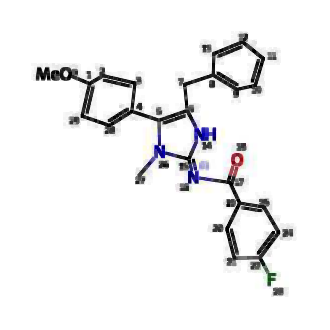 COc1ccc(-c2c(Cc3ccccc3)[nH]/c(=N\C(=O)c3ccc(F)cc3)n2C)cc1